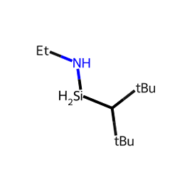 CCN[SiH2]C(C(C)(C)C)C(C)(C)C